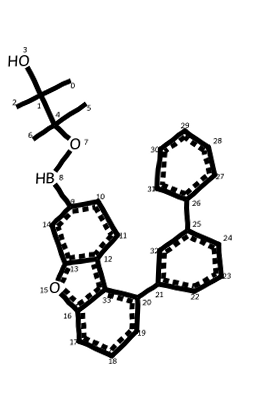 CC(C)(O)C(C)(C)OBc1ccc2c(c1)oc1cccc(-c3cccc(-c4ccccc4)c3)c12